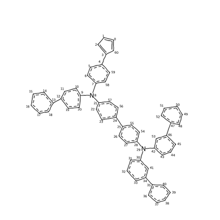 C1=CC=C(c2ccc(N(c3ccc(-c4ccccc4)cc3)c3ccc(-c4ccc(N(c5cccc(-c6ccccc6)c5)c5cccc(-c6ccccc6)c5)cc4)cc3)cc2)C=1